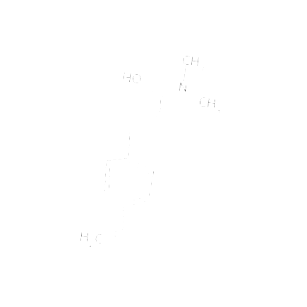 C=Cc1ccc(CCC(O)N(C)C)cc1